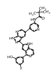 CC(C)(C)C(=O)Nc1cncc(-c2cnc3[nH]nc(-c4cc5c(-c6cc(O)cc(F)c6)nccc5[nH]4)c3c2)c1